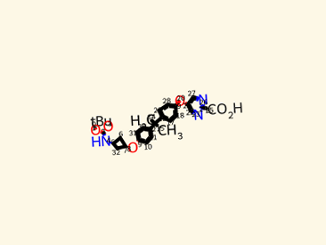 CC(C)(C)OC(=O)N[C@H]1C[C@H](Oc2ccc(C(C)(C)c3ccc(Oc4cnc(C(=O)O)nc4)cc3)cc2)C1